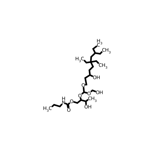 CCCNC(=O)OCC(OC(OCO)OCCC(O)CCC(CC)(CC)CC(CC)CC)C(C)O